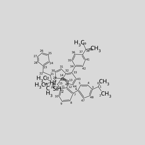 CC(C)c1ccc(-c2cccc3c2C=C[CH]3[Hf]([CH3])([CH3])([CH3])(=[SiH2])([CH2]Cc2ccccc2)[CH]2C=Cc3c(-c4ccc(C(C)C)cc4)cccc32)cc1